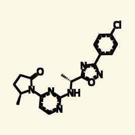 C[C@@H](Nc1nccc(N2C(=O)CC[C@@H]2C)n1)c1nc(-c2ccc(Cl)cc2)no1